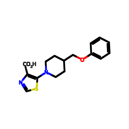 O=C(O)c1ncsc1N1CCC(COc2ccccc2)CC1